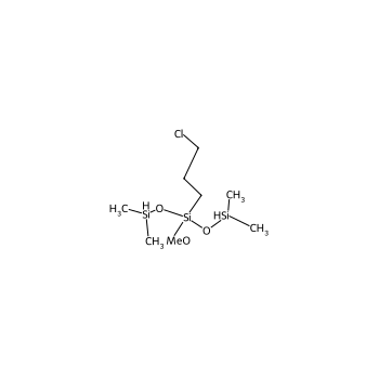 CO[Si](CCCCl)(O[SiH](C)C)O[SiH](C)C